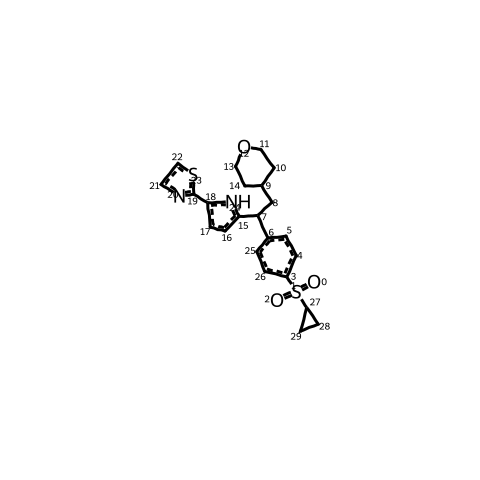 O=S(=O)(c1ccc(C(CC2CCOCC2)c2ccc(-c3nccs3)[nH]2)cc1)C1CC1